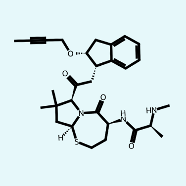 CC#CCO[C@@H]1Cc2ccccc2[C@@H]1CC(=O)[C@H]1N2C(=O)[C@@H](NC(=O)[C@H](C)NC)CCS[C@H]2CC1(C)C